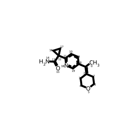 CC(=C1CCOCC1)c1ccc(C2(C(N)=O)CC2)nc1